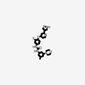 Cc1cc(NC(=O)Nc2ccc(Oc3ccnc(-c4cn[nH]c4)c3)c(F)c2)cc(N2CCOCC2)c1